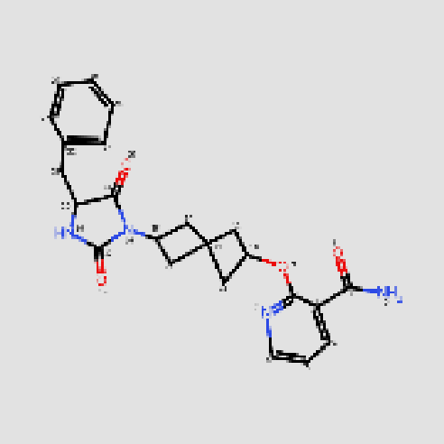 NC(=O)c1cccnc1OC1CC2(C1)CC(N1C(=O)NC(Cc3ccccc3)C1=O)C2